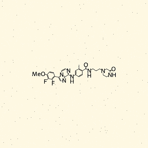 COc1ccc(-c2cnc3c(Nc4ccc(C(=O)NCCCN5CCNC(=O)C5)c(C)c4)nccn23)c(F)c1F